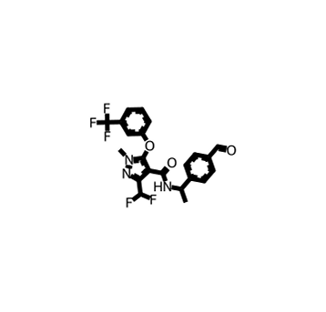 CC(NC(=O)c1c(C(F)F)nn(C)c1Oc1cccc(C(F)(F)F)c1)c1ccc(C=O)cc1